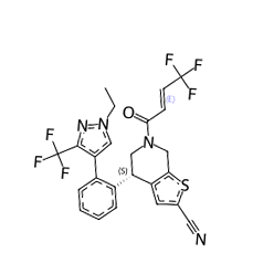 CCn1cc(-c2ccccc2[C@@H]2CN(C(=O)/C=C/C(F)(F)F)Cc3sc(C#N)cc32)c(C(F)(F)F)n1